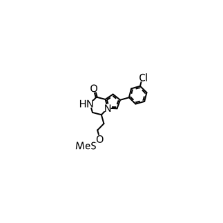 CSOCCC1CNC(=O)c2cc(-c3cccc(Cl)c3)cn21